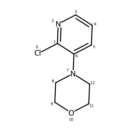 Clc1nc[c]cc1N1CCOCC1